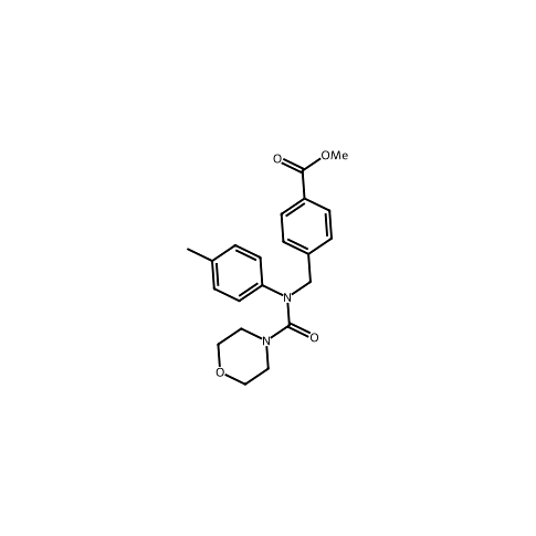 COC(=O)c1ccc(CN(C(=O)N2CCOCC2)c2ccc(C)cc2)cc1